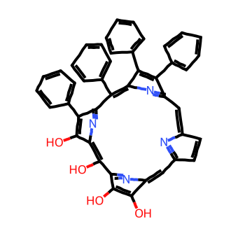 OC1=C(O)C2=NC1=CC1=NC(=CC3=NC(=C(c4ccccc4)C4=NC(=C2O)C(O)=C4c2ccccc2)C(c2ccccc2)=C3c2ccccc2)C=C1